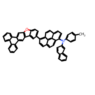 Cc1ccc(N(c2ccc3ccccc3c2)c2ccc3ccc4c(-c5ccc6oc7cc8c9ccccc9c9ccccc9c8cc7c6c5)ccc5ccc2c3c54)cc1